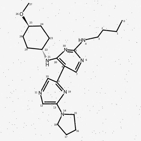 CCCCNc1ncc(-c2cncc(N3CCCC3)n2)c(N[C@H]2CC[C@H](OC)CC2)n1